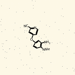 CNc1ccc(Oc2ccnc(C#N)c2)cc1N